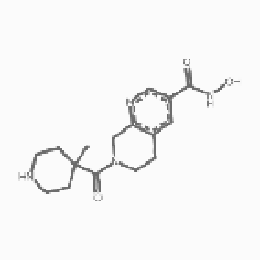 CC1(C(=O)N2CCc3cc(C(=O)NO)cnc3C2)CCNCC1